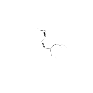 CCC(C)/C=C\C=N/C